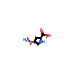 NO[C@@H]1CN[C@H](C(=O)O)C1